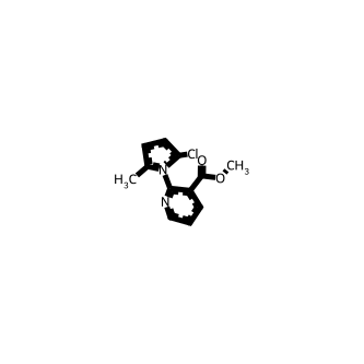 COC(=O)c1cccnc1-n1c(C)ccc1Cl